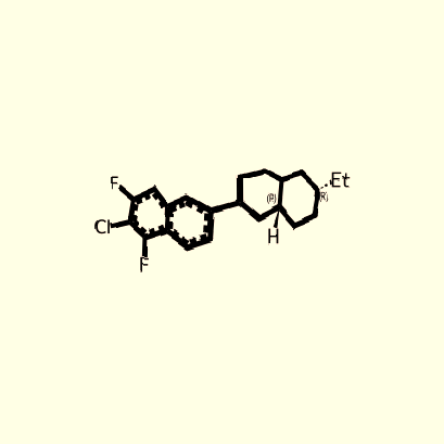 CC[C@@H]1CC[C@@H]2CC(c3ccc4c(F)c(Cl)c(F)cc4c3)CCC2C1